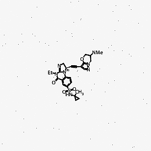 CCN1C(=O)c2cc(S(=O)(=O)NC3(C)CC3)ccc2N2C1=NC[C@H]2C#Cc1cnn2c1OCC(NC)C2